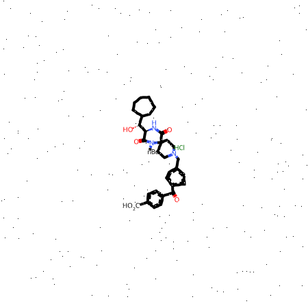 CCCCN1C(=O)[C@@H]([C@H](O)C2CCCCCC2)NC(=O)C12CCN(Cc1ccc(C(=O)c3ccc(C(=O)O)cc3)cc1)CC2.Cl